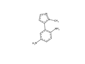 Cn1nccc1-c1cc(N)ccc1N